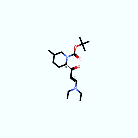 CCN(/C=C/C(=O)[C@@H]1CCC(C)CN1C(=O)OC(C)(C)C)CC